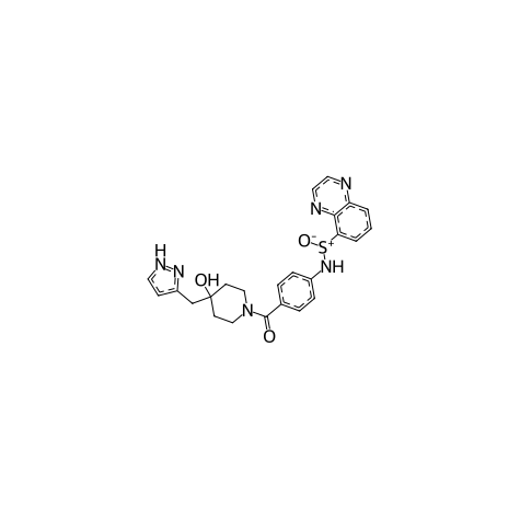 O=C(c1ccc(N[S+]([O-])c2cccc3nccnc23)cc1)N1CCC(O)(Cc2cc[nH]n2)CC1